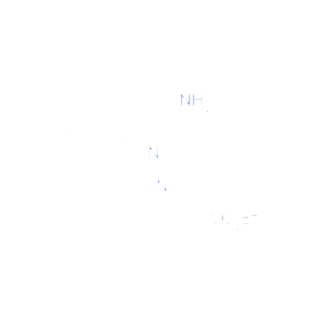 CCOC(=O)c1cc(N)n(C2CCCC2)n1